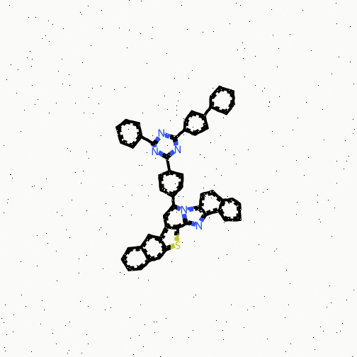 c1ccc(-c2ccc(-c3nc(-c4ccccc4)nc(-c4ccc(-c5cc6c7cc8ccccc8cc7sc6c6nc7c8ccccc8ccc7n56)cc4)n3)cc2)cc1